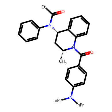 CCCN(CCC)c1ccc(C(=O)N2c3ccccc3[C@@H](N(C(=O)CC)c3ccccc3)C[C@H]2C)cc1